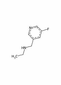 CCNCc1cncc(F)c1